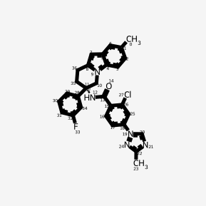 Cc1ccc2c(c1)cc1n2C[C@@](NC(=O)c2ccc(-n3cnc(C)n3)cc2Cl)(c2cccc(F)c2)CC1